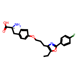 CCc1oc(-c2ccc(F)cc2)nc1CCCOc1ccc(C[C@H](N)C(=O)O)cc1